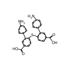 Nc1ccc(-c2cc(C(=O)O)ccc2Sc2ccc(C(=O)O)cc2-c2ccc(N)cc2)cc1